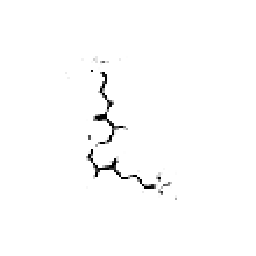 CCN(CC(C)C(=O)CCC[Si](C)(OC)OC)CC(C)C(=O)CCC[Si](C)(OC)OC